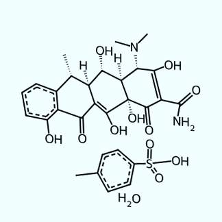 C[C@H]1c2cccc(O)c2C(=O)C2=C(O)[C@]3(O)C(=O)C(C(N)=O)=C(O)[C@@H](N(C)C)[C@@H]3[C@@H](O)[C@@H]21.Cc1ccc(S(=O)(=O)O)cc1.O